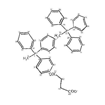 C[P+](c1ccccc1)(c1ccccc1)c1ccccc1.C[P+](c1ccccc1)(c1ccccc1)c1ccccc1.O=C([O-])CCC(=O)[O-]